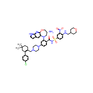 CC1(C)CCC(CN2CCN(c3ccc(C(=O)NS(=O)(=O)c4ccc(NCC5CCOCC5)c([N+](=O)[O-])c4)c(N4C[C@@H](N)COc5nc6[nH]ccc6cc54)c3)CC2)=C(c2ccc(Cl)cc2)C1